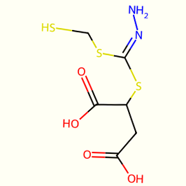 N/N=C(\SCS)SC(CC(=O)O)C(=O)O